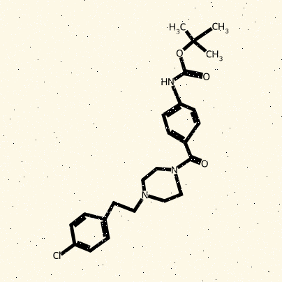 CC(C)(C)OC(=O)Nc1ccc(C(=O)N2CCN(CCc3ccc(Cl)cc3)CC2)cc1